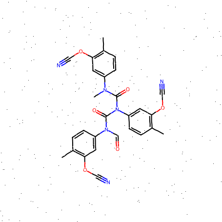 Cc1ccc(N(C)C(=O)N(C(=O)N(C=O)c2ccc(C)c(OC#N)c2)c2ccc(C)c(OC#N)c2)cc1OC#N